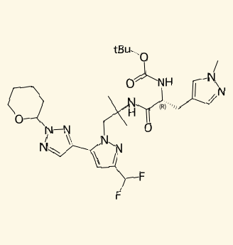 Cn1cc(C[C@@H](NC(=O)OC(C)(C)C)C(=O)NC(C)(C)Cn2nc(C(F)F)cc2-c2cnn(C3CCCCO3)n2)cn1